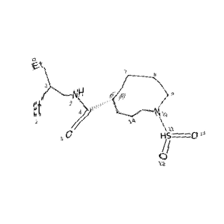 CCC(CC)NC(=O)[C@@H]1CCCN([SH](=O)=O)C1